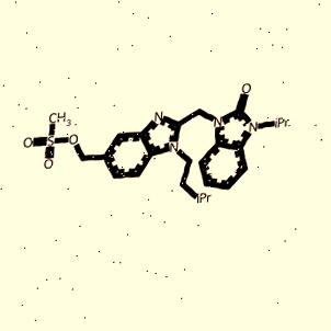 CC(C)CCn1c(Cn2c(=O)n(C(C)C)c3ccccc32)nc2cc(COS(C)(=O)=O)ccc21